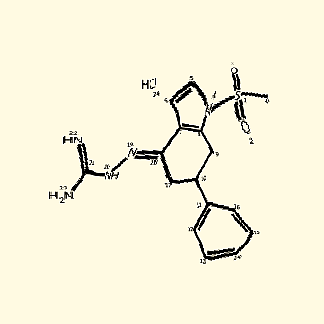 CS(=O)(=O)n1ccc2c1CC(c1ccccc1)CC2=NNC(=N)N.Cl